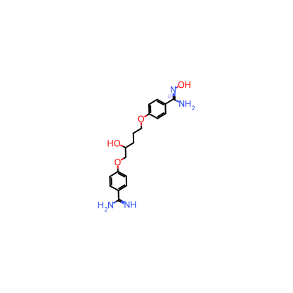 N=C(N)c1ccc(OCC(O)CCCOc2ccc(/C(N)=N/O)cc2)cc1